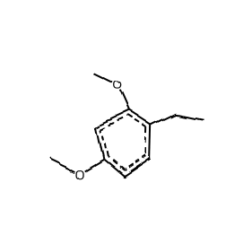 CCc1ccc(OC)cc1OC